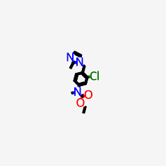 CCOC(=O)N(C)c1ccc(Cn2ccnc2C)c(Cl)c1